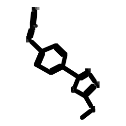 CSc1nnc(-c2ccc(N=[N+]=[N-])cc2)o1